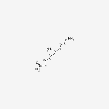 N.NCCCCCCCCCCC(=O)O